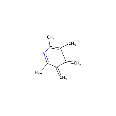 C=c1c(C)nc(C)c(C)c1=C